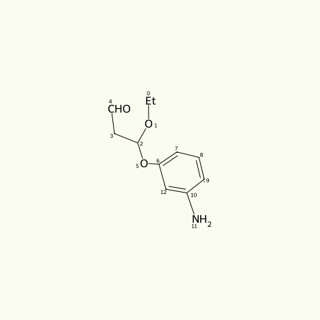 CCOC(CC=O)Oc1cc[c]c(N)c1